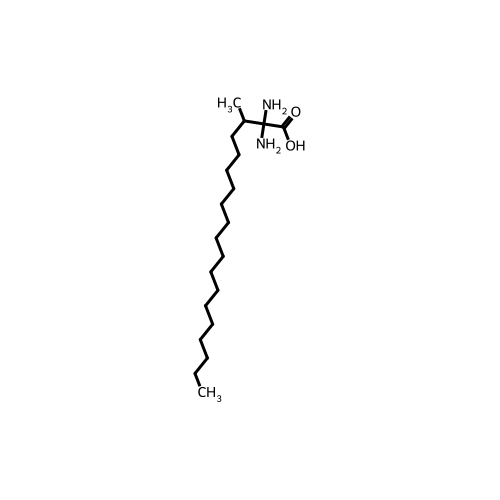 CCCCCCCCCCCCCCCCC(C)C(N)(N)C(=O)O